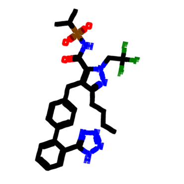 CCCCc1nn(CC(F)(F)F)c(C(=O)NS(=O)(=O)C(C)C)c1Cc1ccc(-c2ccccc2-c2nnn[nH]2)cc1